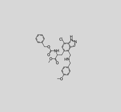 COC(=O)C(Cc1cc(Cl)c2[nH]ncc2c1CNCc1ccc(OC)cc1)NC(=O)OCc1ccccc1